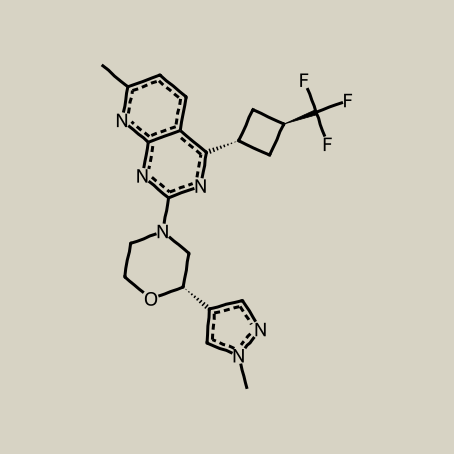 Cc1ccc2c(n1)nc(N1CCO[C@@H](c3cnn(C)c3)C1)nc2[C@H]1C[C@H](C(F)(F)F)C1